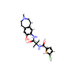 CN1CCc2cc(O)c(NC(=O)C(C)(C)NC(=O)c3ccc(Cl)s3)cc2CC1